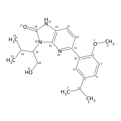 COc1ccc(C(C)C)cc1-c1ccc2[nH]c(=O)n(C(CO)C(C)C)c2n1